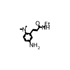 CCNC(=O)C=Cc1cc(N)ccc1N(C)C